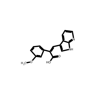 COc1cccc(C(=Cc2c[nH]c3ncccc23)C(=O)O)c1